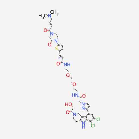 CN(C)CC=CC(=O)N1CCN(c2ccc(/C=C/C(=O)NCCOCCOCCNC(=O)Cn3ccc(-c4cc(Cl)c(Cl)c5[nH]c6c(c45)CN(C(=O)CO)CC6)n3)s2)C(=O)C1